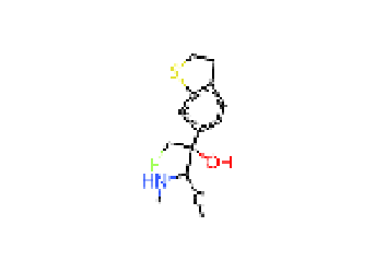 CCC(NC)C(O)(CF)c1ccc2c(c1)SCC2